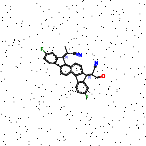 C/C(C#N)=C1\c2cc(F)ccc2-c2ccc3c4c(ccc3c21)/C(=C(\C#N)C=O)c1cc(F)ccc1-4